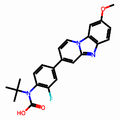 COc1ccc2nc3cc(-c4ccc(N(C(=O)O)C(C)(C)C)c(F)c4)ccn3c2c1